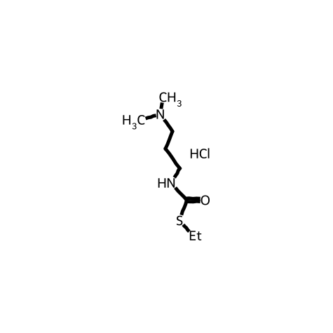 CCSC(=O)NCCCN(C)C.Cl